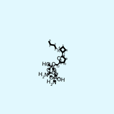 CCCC[C@@H]1CCC1[C@H]1CC[C@@H](COP(=O)(O)OP(N)(=O)OP(N)(=O)O)O1